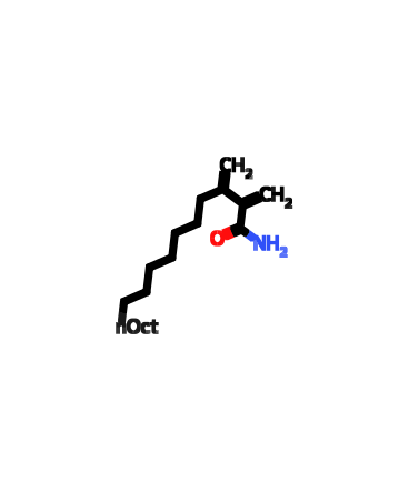 C=C(CCCCCCCCCCCCCCC)C(=C)C(N)=O